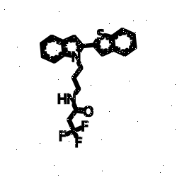 O=C(CC(F)(F)F)NCCCn1c(-c2cc3ccccc3s2)cc2ccccc21